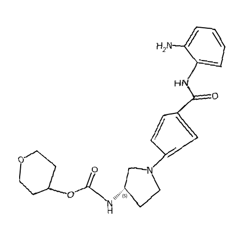 Nc1ccccc1NC(=O)c1ccc(N2CC[C@H](NC(=O)OC3CCOCC3)C2)cc1